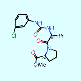 COC(=O)[C@@H]1CCCN1C(=O)[C@@H](NC(=O)Nc1cccc(Cl)c1)C(C)C